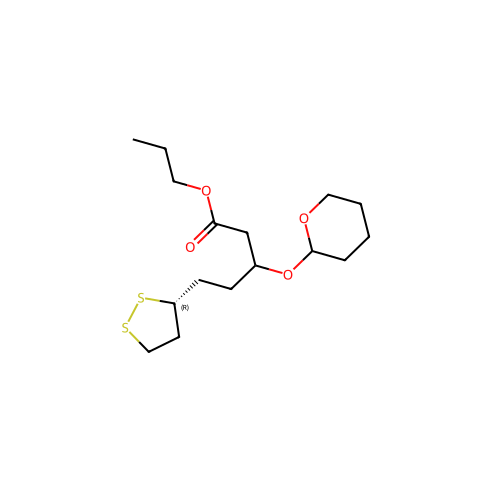 CCCOC(=O)CC(CC[C@@H]1CCSS1)OC1CCCCO1